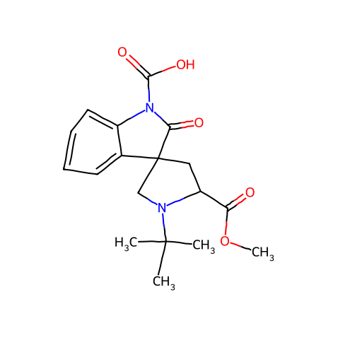 COC(=O)C1CC2(CN1C(C)(C)C)C(=O)N(C(=O)O)c1ccccc12